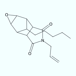 C=CCN1C(=O)C2C(C1=O)C1C(CCCCC)C2C2OC21